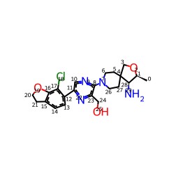 C[C@@H]1OCC2(CCN(c3ncc(-c4ccc5c(c4Cl)OCC5)nc3CO)CC2)[C@@H]1N